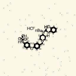 CCCCN(C(=O)Nc1ccccc1O)C1CCN(Cc2ccc(Oc3ccc(NS(C)(=O)=O)cc3)cc2)CC1.Cl